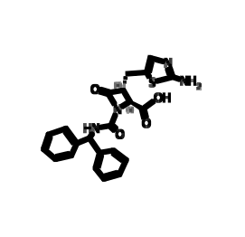 Nc1ncc(C[C@H]2C(=O)N(C(=O)NC(c3ccccc3)c3ccccc3)[C@@H]2C(=O)O)s1